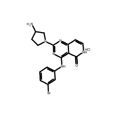 Cl.NC1CCN(c2nc(Nc3cccc(Br)c3)c3c(=O)[nH]ccc3n2)C1